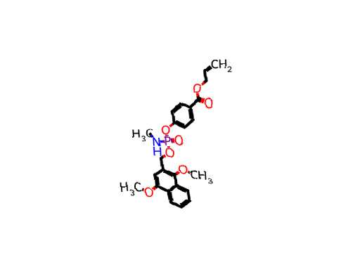 C=CCOC(=O)c1ccc(OP(=O)(NC)OCc2cc(OC)c3ccccc3c2OC)cc1